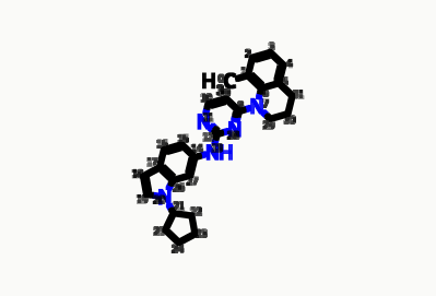 Cc1cccc2c1N(c1ccnc(Nc3ccc4ccn(C5CCCC5)c4c3)n1)CCC2